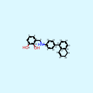 Oc1cccc(CNc2ccc(-c3cccc4c3C=CCC4)cc2)c1O